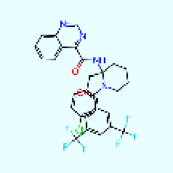 O=C(N[C@]1(Cc2ccc(Cl)cc2)CCCCN1C(=O)c1cc(C(F)(F)F)cc(C(F)(F)F)c1)c1ncnc2ccccc12